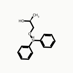 C[C@H](O)CO[SiH](c1ccccc1)c1ccccc1